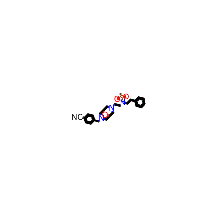 CS(=O)(=O)N(CCc1ccccc1)CCN1CC2CN(Cc3ccc(C#N)cc3)CC(C1)O2